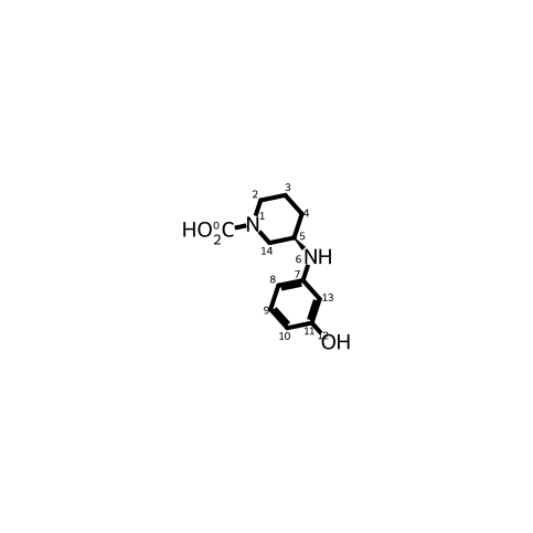 O=C(O)N1CCC[C@@H](Nc2cccc(O)c2)C1